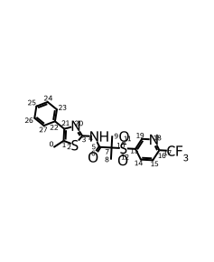 Cc1sc(NC(=O)C(C)(C)S(=O)(=O)c2ccc(C(F)(F)F)nc2)nc1-c1ccccc1